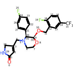 O=C1C=C(CN2CCO[C@H](OCc3cc(C(F)(F)F)ccc3F)[C@@H]2c2ccc(F)cc2)CN1